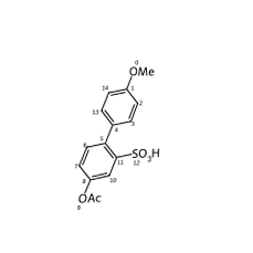 COc1ccc(-c2ccc(OC(C)=O)cc2S(=O)(=O)O)cc1